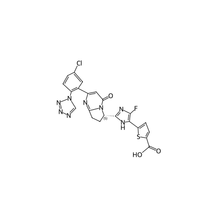 O=C(O)c1ccc(-c2[nH]c([C@@H]3CCc4nc(-c5cc(Cl)ccc5-n5cnnn5)cc(=O)n43)nc2F)s1